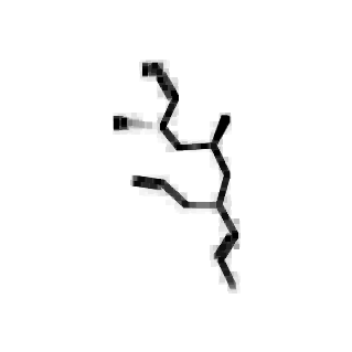 C=CCC(/C=C/C)C[C@H](C)C[C@@H](C=N)CC